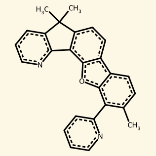 Cc1ccc2c(oc3c4c(ccc32)C(C)(C)c2cccnc2-4)c1-c1ccccn1